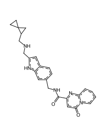 O=C(NCc1ccc2cc(CNCC3CC34CC4)[nH]c2c1)c1cc(=O)n2ccccc2n1